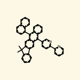 CC1(C)c2ccccc2-c2cc3c(-c4ccc(-c5ccccn5)nc4)c4ccccc4c(-c4cccc5ccccc45)c3cc21